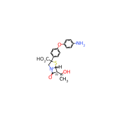 C[C@@H](O)[C@H]1C(=O)N2CC(C(=O)O)(c3ccc(Oc4ccc(N)cc4)cc3)S[C@H]12